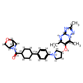 Cc1nc2nc(C)c(O[C@@H]3CCN(c4ccc(C5CCC(C(=O)N6CC7CC6CO7)CC5)cc4)C3)c(C)n2n1